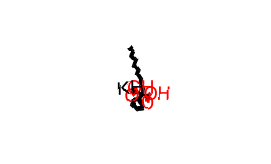 CCCCCCCCCCC(C(=O)O)(C(=O)O)c1ccccc1.[KH]